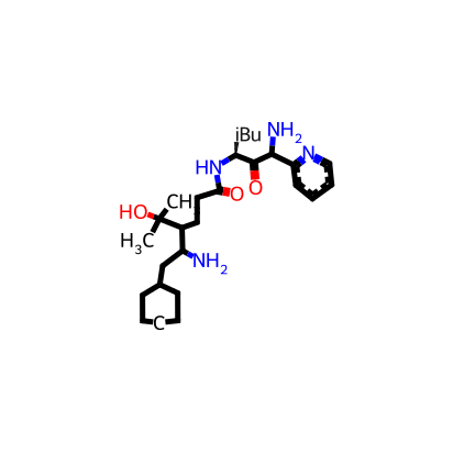 CCC(C)[C@H](NC(=O)CCC(C(N)CC1CCCCC1)C(C)(C)O)C(=O)C(N)c1ccccn1